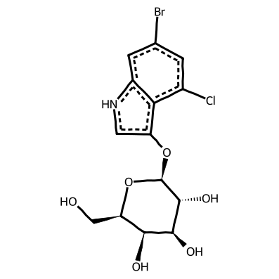 OC[C@H]1O[C@@H](Oc2c[nH]c3cc(Br)cc(Cl)c23)[C@H](O)[C@@H](O)[C@H]1O